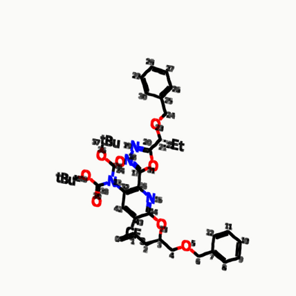 C=CC[C@H](COCc1ccccc1)Oc1nc(-c2nnc([C@@H](CC)OCc3ccccc3)o2)c(N(C(=O)OC(C)(C)C)C(=O)OC(C)(C)C)cc1C(F)(F)F